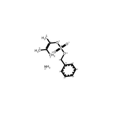 CC(C)=C(C)OS(=O)(=O)OCc1ccccc1.N